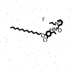 CCCCCCCCCCCCCCOc1ccc(C(C)NC(=O)c2cccc[n+]2CCC)cc1Cl.[I-]